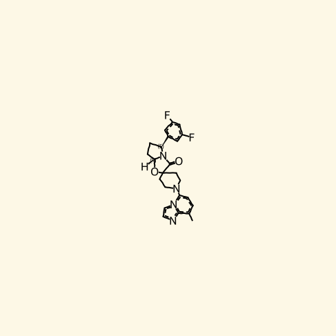 Cc1ccc(N2CCC3(CC2)O[C@@H]2CC[C@@H](c4cc(F)cc(F)c4)N2C3=O)n2ccnc12